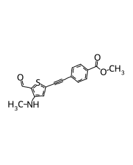 CNc1cc(C#Cc2ccc(C(=O)OC)cc2)sc1C=O